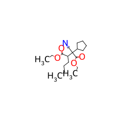 CCCCC(C(=O)OCC)C(C#N)(C(=O)OCC)C1CCCC1